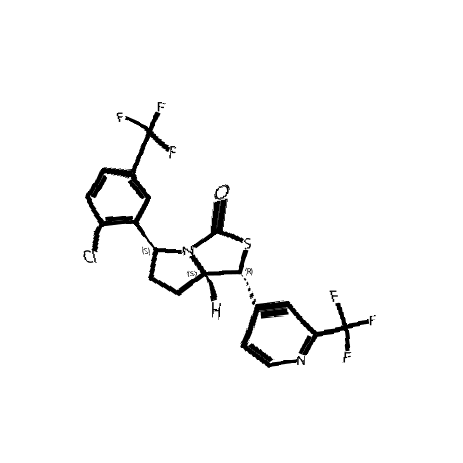 O=C1S[C@H](c2ccnc(C(F)(F)F)c2)[C@@H]2CC[C@@H](c3cc(C(F)(F)F)ccc3Cl)N12